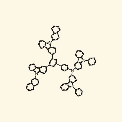 c1ccc(-n2c3ccccc3c3cc(N(c4ccc(-c5cc(-c6ccc7c(c6)c6ccccc6n7-c6ccc7ccccc7c6)cc(-c6ccc7c(c6)c6ccccc6n7-c6ccc7ccccc7c6)c5)cc4)c4ccc5c(c4)c4ccccc4n5-c4ccccc4)ccc32)cc1